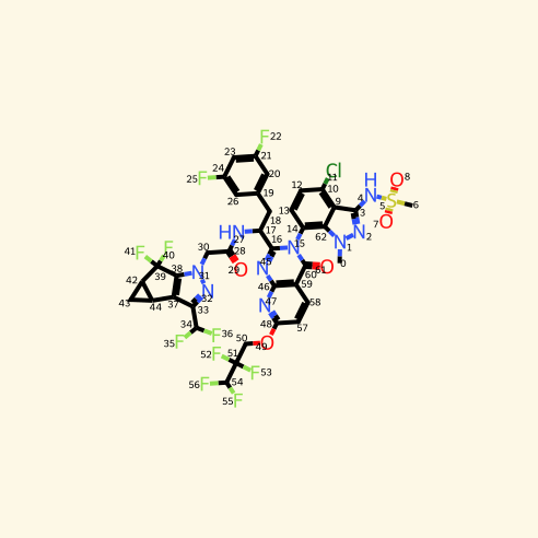 Cn1nc(NS(C)(=O)=O)c2c(Cl)ccc(-n3c(C(Cc4cc(F)cc(F)c4)NC(=O)Cn4nc(C(F)F)c5c4C(F)(F)C4CC54)nc4nc(OCC(F)(F)C(F)F)ccc4c3=O)c21